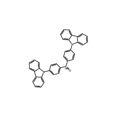 O=[PH](c1ccc(-n2c3ccccc3c3ccccc32)cc1)c1ccc(-n2c3ccccc3c3ccccc32)cc1